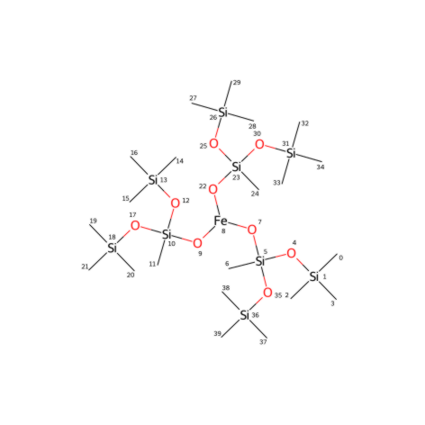 C[Si](C)(C)O[Si](C)([O][Fe]([O][Si](C)(O[Si](C)(C)C)O[Si](C)(C)C)[O][Si](C)(O[Si](C)(C)C)O[Si](C)(C)C)O[Si](C)(C)C